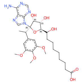 COc1cc(C(C)[C@@]2(n3cnc4c(N)ncnc43)O[C@H](C(O)CCCCCCCC(=O)O)[C@@H](O)[C@H]2O)cc(OC)c1OC